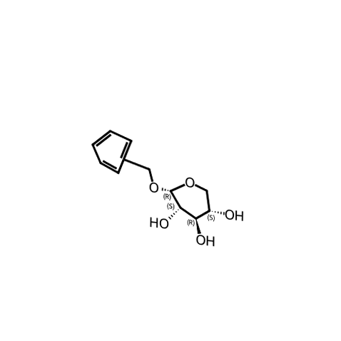 O[C@@H]1[C@H](OCc2ccccc2)OC[C@H](O)[C@H]1O